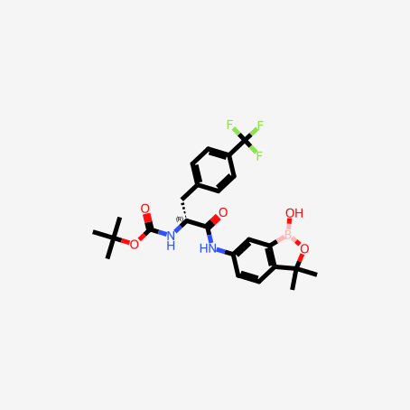 CC(C)(C)OC(=O)N[C@H](Cc1ccc(C(F)(F)F)cc1)C(=O)Nc1ccc2c(c1)B(O)OC2(C)C